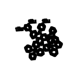 CC(C)(C)c1ccc(N2c3cc(-c4cc(C(C)(C)C)cc(C(C)(C)C)c4)ccc3B3c4ccc([Si](c5ccccc5)(c5ccccc5)c5ccccc5)cc4N(c4cccc([Si](c5ccccc5)(c5ccccc5)c5ccccc5)c4)c4cc(-n5c6ccccc6c6ccccc65)cc2c43)cc1